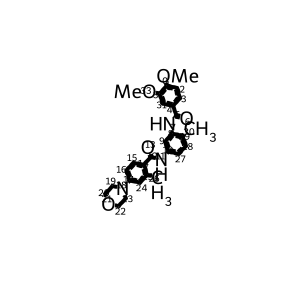 COc1ccc(C(=O)Nc2cc(NC(=O)c3ccc(N4CCOCC4)cc3C)ccc2C)cc1OC